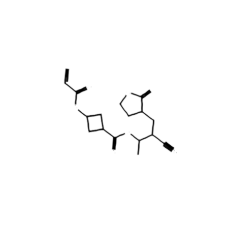 C=CC(=O)OC1CC(C(=O)OC(C)C(C#N)CC2CCOC2=O)C1